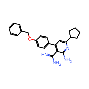 N=C(N)c1c(-c2ccc(OCc3ccccc3)cc2)cc(C2CCCC2)nc1N